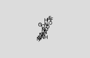 CCN1C(=O)N(c2cc(NC(=O)c3cccc(C(F)(F)F)c3)cc(OC)c2)Cc2cnc(Nc3cc(C)nn3C)nc21